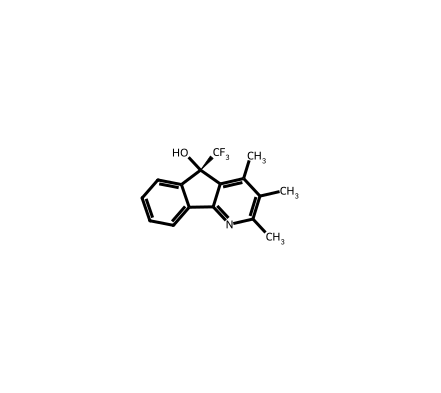 Cc1nc2c(c(C)c1C)[C@](O)(C(F)(F)F)c1ccccc1-2